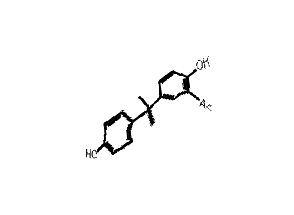 CC(=O)c1cc(C(C)(C)c2ccc(O)cc2)ccc1O